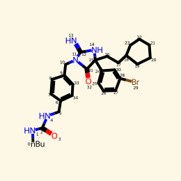 CCCCNC(=O)NCc1ccc(CN2C(=N)NC(CCC3CCCCC3)(c3cccc(Br)c3)C2=O)cc1